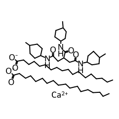 CC1CCC(NC(=O)CC(CC(=O)NC2CCC(C)CC2)C(=O)NC2CCC(C)CC2)CC1.CCCCCCCCCCCCCCCCCC(=O)[O-].CCCCCCCCCCCCCCCCCC(=O)[O-].[Ca+2]